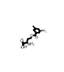 Cc1cc(N)cc(C(=O)OCCC(N)C(=O)O)c1